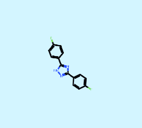 Fc1ccc(-c2n[nH]c(-c3ccc(F)cc3)n2)cc1